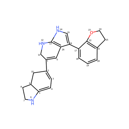 C1=C(C2=CC=C3NCCC3C2)CNc2[nH]cc(-c3cccc4c3OCC4)c21